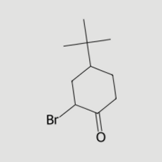 CC(C)(C)C1CCC(=O)C(Br)C1